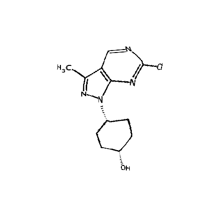 Cc1nn([C@H]2CC[C@@H](O)CC2)c2nc(Cl)ncc12